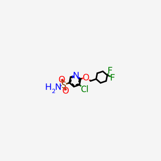 NS(=O)(=O)c1cnc(OCC2CCC(F)(F)CC2)c(Cl)c1